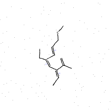 C=C(C)C(/C=C(\C=C\CSC)CC)=C/C